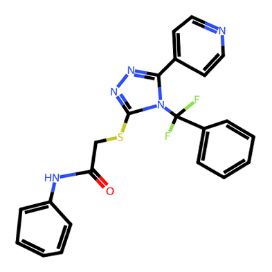 O=C(CSc1nnc(-c2ccncc2)n1C(F)(F)c1ccccc1)Nc1ccccc1